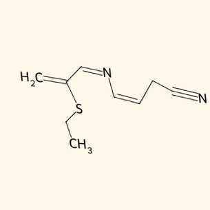 C=C(/C=N\C=C/CC#N)SCC